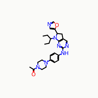 CCC(CC)N1c2nc(Nc3ccc(N4CCN(C(C)=O)CC4)cc3)ncc2CC1c1cnco1